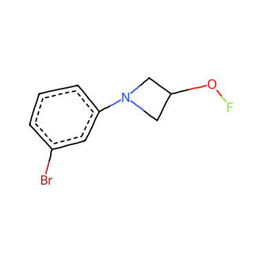 FOC1CN(c2cccc(Br)c2)C1